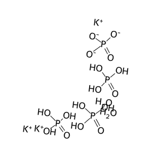 O.O.O=P(O)(O)O.O=P(O)(O)O.O=P(O)(O)O.O=P([O-])([O-])[O-].[K+].[K+].[K+]